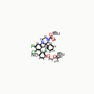 C[C@H](COc1ccc(C#N)c(-c2c(Cl)c(F)cc3c2CC2(c4ccccc4)CN(C(=O)OC(C)(C)C)CCN32)c1F)O[Si](C)(C)C(C)(C)C